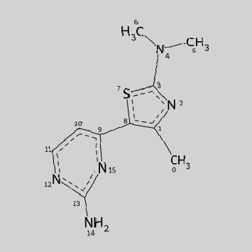 Cc1nc(N(C)C)sc1-c1ccnc(N)n1